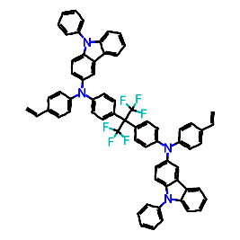 C=Cc1ccc(N(c2ccc(C(c3ccc(N(c4ccc(C=C)cc4)c4ccc5c(c4)c4ccccc4n5-c4ccccc4)cc3)(C(F)(F)F)C(F)(F)F)cc2)c2ccc3c(c2)c2ccccc2n3-c2ccccc2)cc1